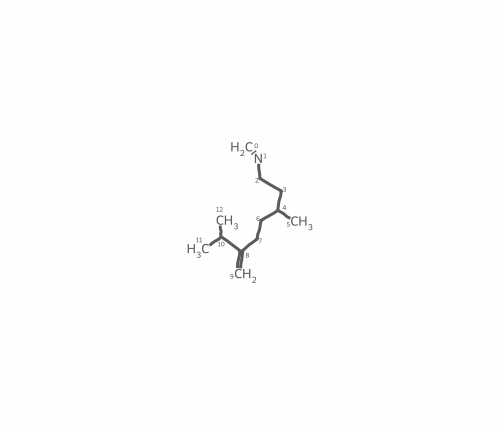 C=NCCC(C)CCC(=C)C(C)C